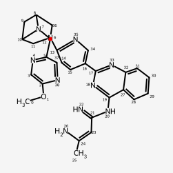 COc1cnc(CN2C3CC2CN(c2ccc(-c4nc(NC(=N)/C=C(/C)N)c5ccccc5n4)cn2)C3)cn1